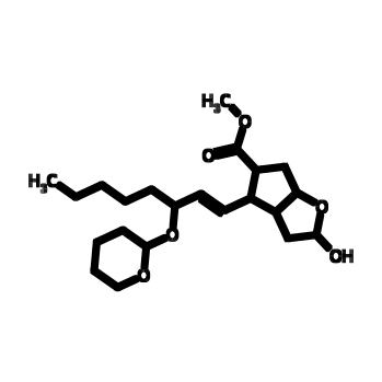 CCCCCC(C=CC1C(C(=O)OC)CC2OC(O)CC21)OC1CCCCO1